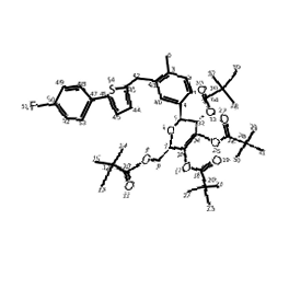 Cc1ccc([C@@H]2O[C@H](COC(=O)C(C)(C)C)C(OC(=O)C(C)(C)C)=C(OC(=O)C(C)(C)C)[C@H]2OC(=O)C(C)(C)C)cc1Cc1ccc(-c2ccc(F)cc2)s1